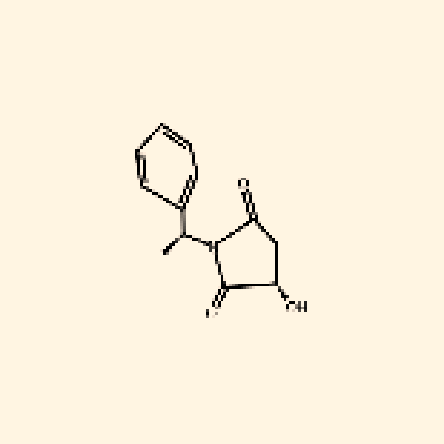 C[C@@H](c1ccccc1)N1C(=O)C[C@@H](O)C1=O